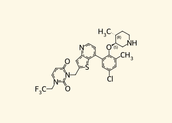 Cc1cc(Cl)cc(-c2ccnc3cc(Cn4c(=O)ccn(CC(F)(F)F)c4=O)sc23)c1O[C@@H]1CNCC[C@H]1C